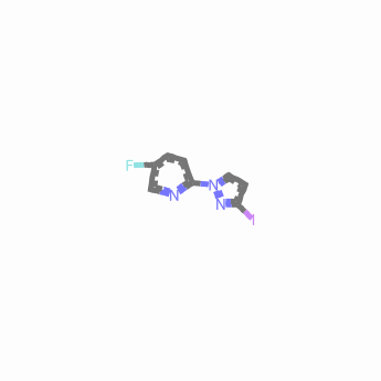 Fc1ccc(-n2ccc(I)n2)nc1